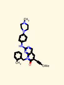 COC#Cc1cc2cnc(Nc3ccc(N4CCN(C)CC4)cc3)nc2n(Cc2ccccc2C)c1=O